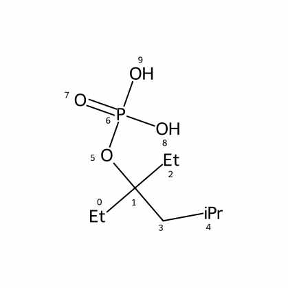 CCC(CC)(CC(C)C)OP(=O)(O)O